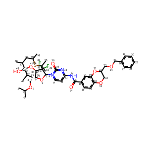 CC(C)OC[C@H]1OC(n2ccc(NC(=O)c3ccc4c(c3)OC(COCc3ccccc3)CO4)nc2=O)C(F)(F)[C@@H]1O[Si](O)(C(C)C)C(C)CC(C)SC(C)C